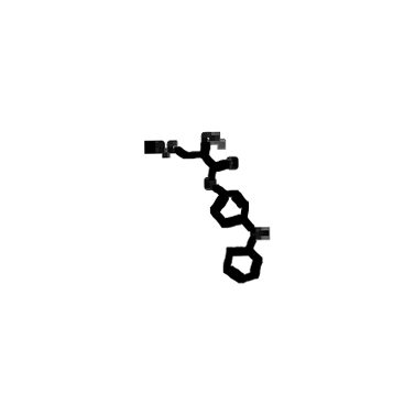 C=C(CC(=O)O)C(=O)Oc1ccc(Nc2ccccc2)cc1